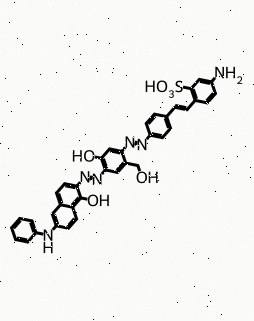 Nc1ccc(C=Cc2ccc(N=Nc3cc(O)c(N=Nc4ccc5cc(Nc6ccccc6)ccc5c4O)cc3CO)cc2)c(S(=O)(=O)O)c1